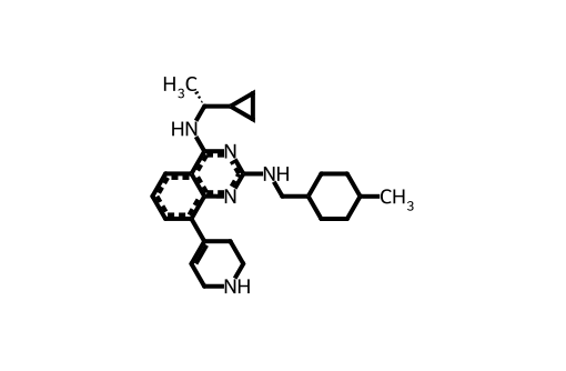 CC1CCC(CNc2nc(N[C@H](C)C3CC3)c3cccc(C4=CCNCC4)c3n2)CC1